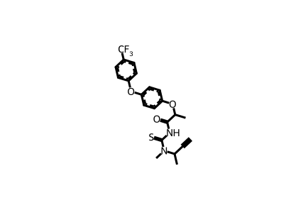 C#CC(C)N(C)C(=S)NC(=O)C(C)Oc1ccc(Oc2ccc(C(F)(F)F)cc2)cc1